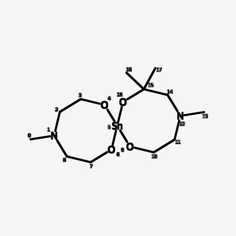 CN1CC[O][Sn]2([O]CC1)[O]CCN(C)CC(C)(C)[O]2